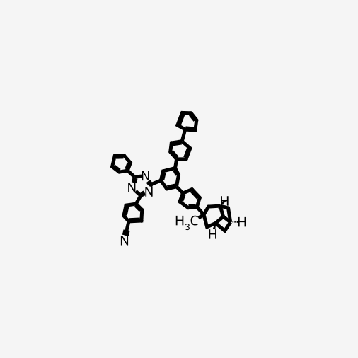 CC1(c2ccc(-c3cc(-c4ccc(-c5ccccc5)cc4)cc(-c4nc(-c5ccccc5)nc(-c5ccc(C#N)cc5)n4)c3)cc2)C[C@H]2C[C@@H]3C[C@@H](C1)C32